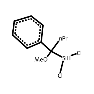 CCCC(OC)(c1ccccc1)[SiH](Cl)Cl